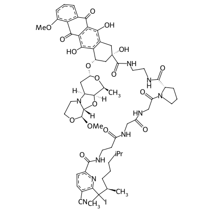 COc1cccc2c1C(=O)c1c(O)c3c(c(O)c1C2=O)C[C@@](O)(C(=O)NCCNC(=O)[C@@H]1CCCN1C(=O)CNC(=O)CNC(=O)CCNC(=O)c1ccc(C#N)c(C(C)(I)[C@H](C)CCCC(C)C)n1)C[C@@H]3O[C@H]1C[C@H]2[C@H](O[C@@H]3[C@@H](OC)OCCN32)[C@H](C)O1